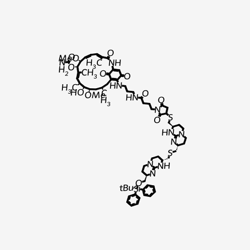 CO[C@H]1C[C@H](C)CC2=C(NCCCNC(=O)CCCN3C(=O)CC(SC[C@H]4CCN5CC[C@H](CSC[C@H]6CCN7CC[C@H](CO[Si](c8ccccc8)(c8ccccc8)C(C)(C)C)N=C7N6)N=C5N4)C3=O)C(=O)C=C(NC(=O)/C(C)=C/C=C\[C@@H](OC)[C@@H](OC(N)=O)/C(C)=C/[C@H](C)[C@H]1O)C2=O